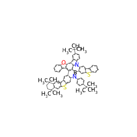 CC(C)(C)c1ccc(N2B3c4cc5sc6ccccc6c5cc4-n4c5ccc(C(C)(C)C)cc5c5c6oc7ccccc7c6c(c3c54)-c3cc4c(cc32)sc2cc3c(cc24)C(C)(C)CCC3(C)C)cc1